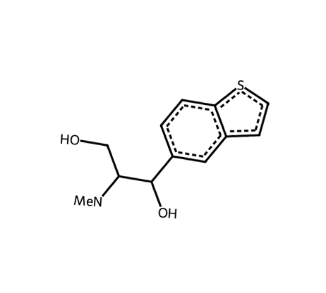 CNC(CO)C(O)c1ccc2sccc2c1